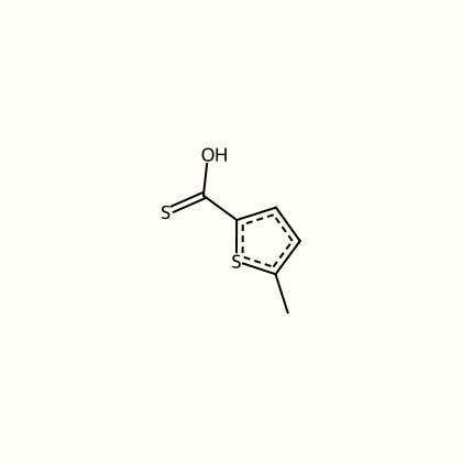 Cc1ccc(C(O)=S)s1